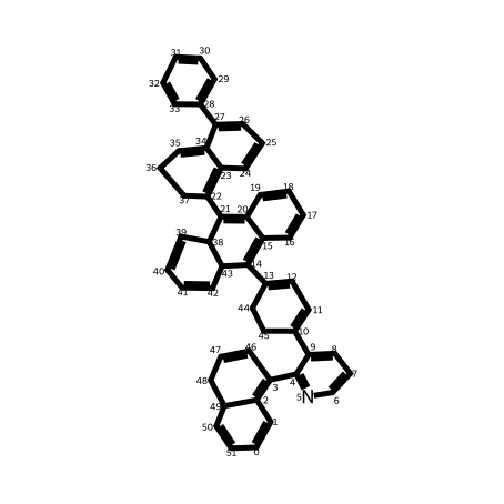 C1=CC2=C(c3ncccc3C3=CC=C(C4=c5ccccc5=C(C5=c6cccc(-c7ccccc7)c6=CCC5)C5C=CC=CC45)CC3)C=CCC2C=C1